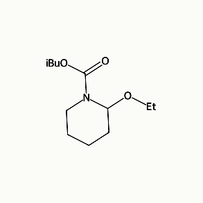 CCOC1CCCCN1C(=O)OCC(C)C